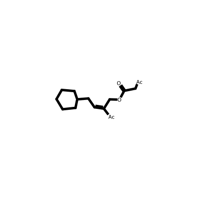 CC(=O)CC(=O)OCC(=CCC1CCCCC1)C(C)=O